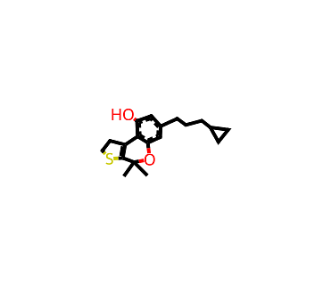 CC1(C)Oc2cc(CCCC3CC3)cc(O)c2C2=C1SCC2